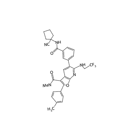 CNC(=O)c1c(-c2ccc(C)cc2)oc2nc(NCC(F)(F)F)c(-c3cccc(C(=O)NC4(C#N)CCCC4)c3)cc12